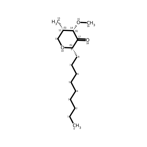 CCCCCCCCC[C@@H]1OC[C@H](C)[C@H](OC)C1=O